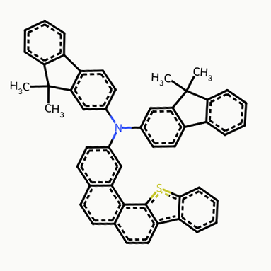 CC1(C)c2ccccc2-c2ccc(N(c3ccc4c(c3)C(C)(C)c3ccccc3-4)c3ccc4ccc5ccc6c7ccccc7sc6c5c4c3)cc21